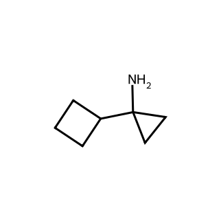 NC1(C2CCC2)CC1